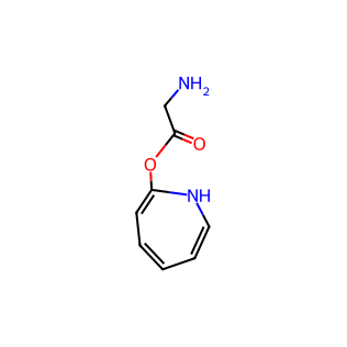 NCC(=O)OC1=CC=CC=CN1